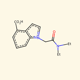 CCN(CC)C(=O)Cn1ccc2c(C(=O)O)cccc21